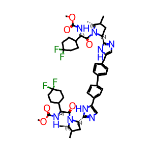 COC(=O)N[C@H](C(=O)N1[C@H](C)C(C)C[C@H]1c1ncc(-c2ccc(-c3ccc(-c4cnc([C@@H]5CC(C)[C@@H](C)N5C(=O)[C@@H](NC(=O)OC)C5CCC(F)(F)CC5)[nH]4)cc3)cc2)[nH]1)C1CCC(F)(F)CC1